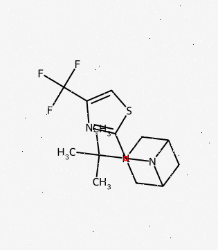 CC(C)(C)N1CC2CC(C1)N2Cc1nc(C(F)(F)F)cs1